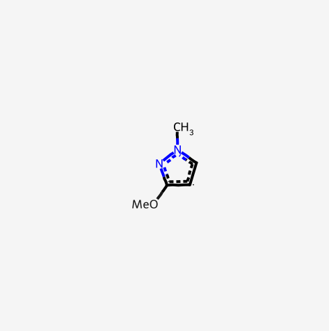 COc1[c]cn(C)n1